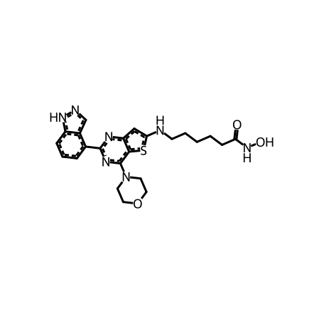 O=C(CCCCCNc1cc2nc(-c3cccc4[nH]ncc34)nc(N3CCOCC3)c2s1)NO